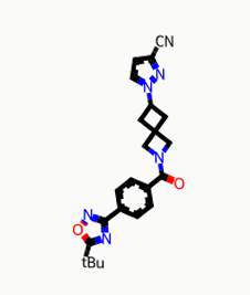 CC(C)(C)c1nc(-c2ccc(C(=O)N3CC4(CC(n5ccc(C#N)n5)C4)C3)cc2)no1